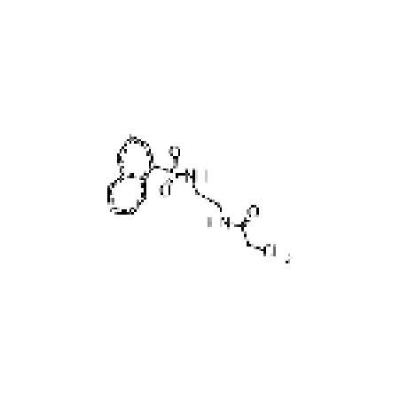 CCC(=O)NCCNS(=O)(=O)c1cccc2ccccc12